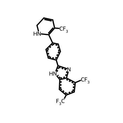 FC(F)(F)C1=C(c2ccc(-c3nc4c(C(F)(F)F)cc(C(F)(F)F)cc4[nH]3)cc2)NCC=C1